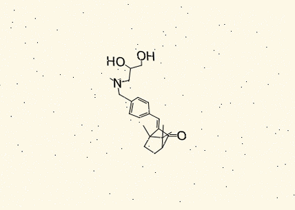 CN(Cc1ccc(/C=C2/C(=O)C3CCC2(C)C3(C)C)cc1)CC(O)CO